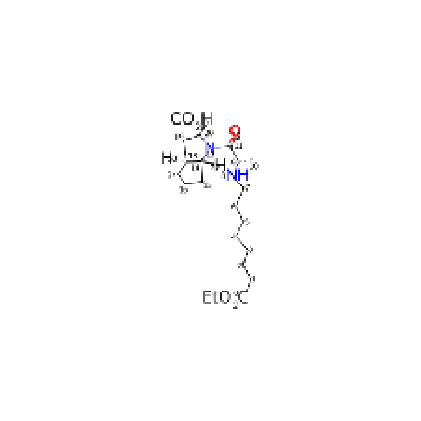 CCOC(=O)CCCCCCCN[C@@H](C)C(=O)N1[C@@H]2CCC[C@H]2C[C@H]1C(=O)O